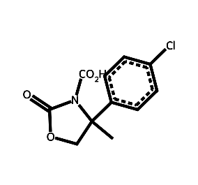 CC1(c2ccc(Cl)cc2)COC(=O)N1C(=O)O